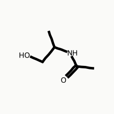 CC(=O)NC(C)CO